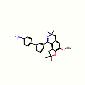 CCCCOc1cc2c(c3c1OC(C)(C)C3)C(c1cccc(-c3ccc(N)cc3)c1)=NC(C)(C)C2